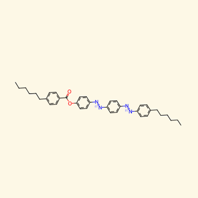 CCCCCCc1ccc(/N=N/c2ccc(/N=N/c3ccc(OC(=O)c4ccc(CCCCCC)cc4)cc3)cc2)cc1